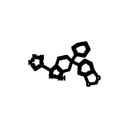 C1=CC(c2ccccc2)(c2ccc3c(c2)OCO3)Cc2[nH]nc(-n3cnnn3)c21